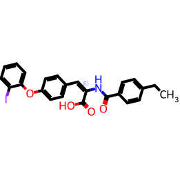 CCc1ccc(C(=O)N/C(=C/c2ccc(Oc3ccccc3I)cc2)C(=O)O)cc1